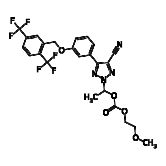 COCCOC(=O)OC(C)n1nc(C#N)c(-c2cccc(OCc3cc(C(F)(F)F)ccc3C(F)(F)F)c2)n1